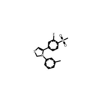 Cc1cccc(N2CSC=C2c2ccc(S(C)(=O)=O)c(F)c2)c1